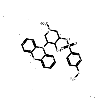 O=C(O)N1CC(NS(=O)(=O)c2ccc(OC(F)(F)F)cc2)C(O)C(N2c3ccccc3Oc3ccccc32)C1